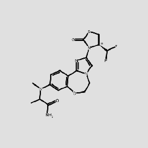 CC(C(N)=O)N(C)c1ccc2c(c1)OCCn1cc(N3C(=O)SC[C@H]3C(F)F)nc1-2